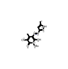 [C-]#[N+]c1c(C)c(/N=N/c2cc(C)[nH]n2)c(O)n(CCCC)c1=O